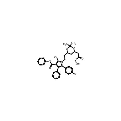 CC(C)c1c(C(=O)Nc2ccccc2)c(-c2ccccc2)c(-c2ccc(F)cc2)n1CCC1CC(CC(=O)OC(C)(C)C)OC(C)(C)O1